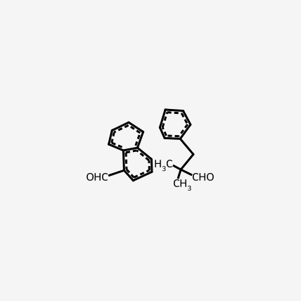 CC(C)(C=O)Cc1ccccc1.O=Cc1cccc2ccccc12